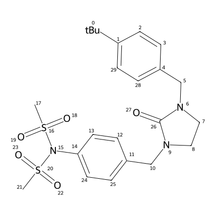 CC(C)(C)c1ccc(CN2CCN(Cc3ccc(N(S(C)(=O)=O)S(C)(=O)=O)cc3)C2=O)cc1